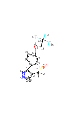 CC1(C)c2[se]nnc2-c2ccc(OCC(F)(F)F)cc2[S+]1[O-]